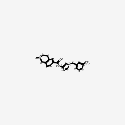 CN1CCc2cc(C(=O)Nc3cn(Cc4cccc(C(F)(F)F)c4)cn3)ccc2C1